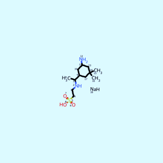 CC(NCCS(=O)(=O)O)C1CC(N)CC(C)(C)C1.[NaH]